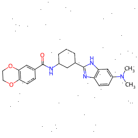 CN(C)c1ccc2nc(C3CCCC(NC(=O)c4ccc5c(c4)OCCO5)C3)[nH]c2c1